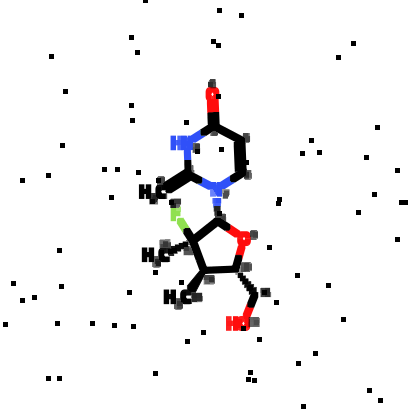 C=C1NC(=O)C=CN1[C@@H]1O[C@H](CO)[C@@H](C)[C@@]1(C)F